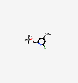 COc1cc(Cl)nc(CO[Si](C)(C)C(C)(C)C)c1